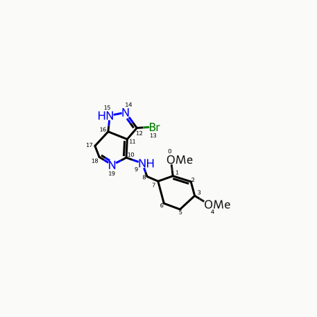 COC1=CC(OC)CCC1CNC1=C2C(Br)=NNC2CC=N1